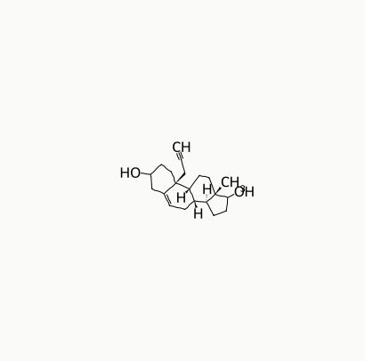 C#CC[C@]12CCC(O)CC1=CC[C@@H]1[C@H]2CC[C@]2(C)C(O)CC[C@@H]12